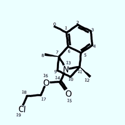 Cc1cccc2c1[C@@]1(C)CC[C@]2(C)N1C(=O)OCCCl